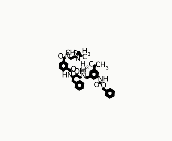 Cc1csc(CN(C)C(=O)c2cccc(C(=O)NC(Cc3ccccc3)C(O)CNCc3cc(NC(=O)OCc4ccccc4)cc(C(C)C)c3)c2)n1